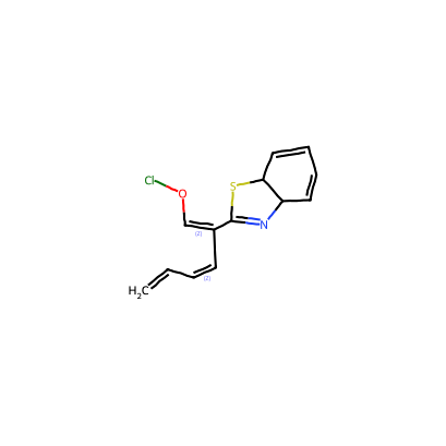 C=C/C=C\C(=C\OCl)C1=NC2C=CC=CC2S1